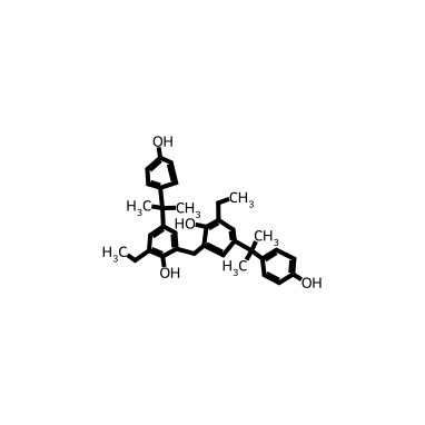 CCc1cc(C(C)(C)c2ccc(O)cc2)cc(Cc2cc(C(C)(C)c3ccc(O)cc3)cc(CC)c2O)c1O